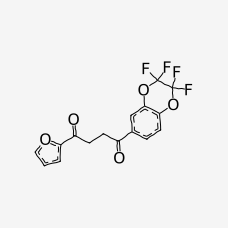 O=C(CCC(=O)c1ccco1)c1ccc2c(c1)OC(F)(F)C(F)(F)O2